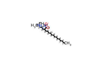 CCCCCCCCCCCCCCC(CCCN(C)C)C(=O)[NH2+][O-]